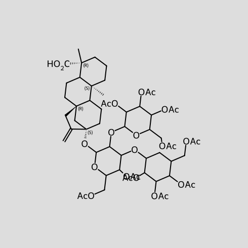 C=C1C[C@@]23CCC4[C@@](C)(CCC[C@@]4(C)C(=O)O)C2CC[C@]1(OC1OC(COC(C)=O)C(OC(C)=O)C(OC2CC(COC(C)=O)C(OC(C)=O)C(OC(C)=O)C2OC(C)=O)C1OC1OC(COC(C)=O)C(OC(C)=O)C(OC(C)=O)C1OC(C)=O)C3